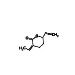 C=CC1CC/C(=C/C)C(=O)O1